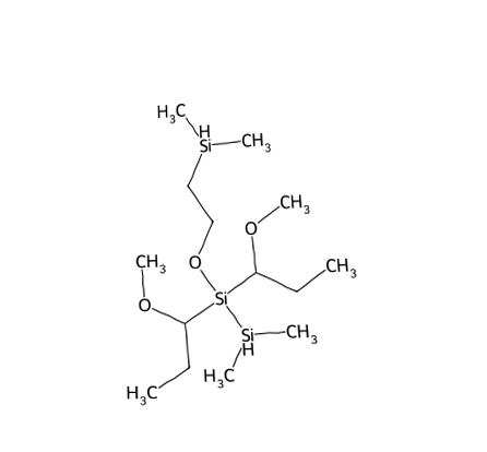 CCC(OC)[Si](OCC[SiH](C)C)(C(CC)OC)[SiH](C)C